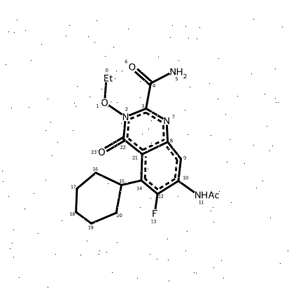 CCOn1c(C(N)=O)nc2cc(NC(C)=O)c(F)c(C3CCCCC3)c2c1=O